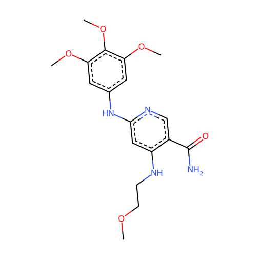 COCCNc1cc(Nc2cc(OC)c(OC)c(OC)c2)ncc1C(N)=O